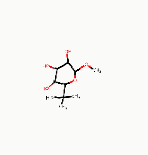 COC1OC(C(C)(C)C)C(O)C(O)C1O